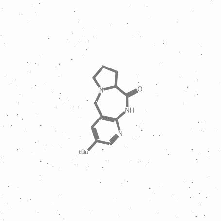 CC(C)(C)c1cnc2c(c1)CN1CCCC1C(=O)N2